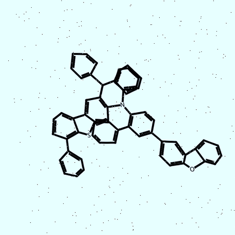 c1ccc(-c2cc(-c3ccc4oc5ccccc5c4c3)ccc2N(c2ccccc2)c2cc3sc4c(-c5ccccc5)cccc4c3cc2C(c2ccccc2)c2ccccc2)cc1